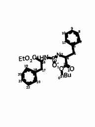 CCCCOC(=O)C(Cc1ccccc1)/N=[P+](\[O-])NC(Cc1ccccc1)C(=O)OCC